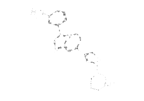 Nc1cccc(-c2cnc3cc(-c4cnn(C5CCCNC5)c4)ccn23)c1